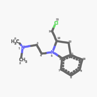 CN(C)CCN1c2ccccc2CC1CCl